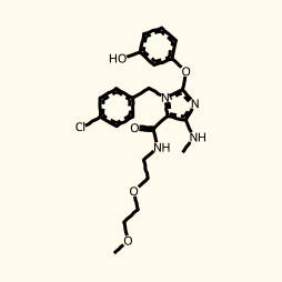 CNc1nc(Oc2cccc(O)c2)n(Cc2ccc(Cl)cc2)c1C(=O)NCCOCCOC